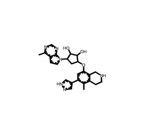 Cc1c(-c2cn[nH]c2)cc(OC2CC(n3ccc4c(C)ncnc43)C(O)C2O)c2c1CCNC2